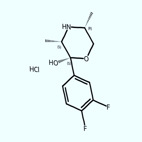 C[C@@H]1CO[C@@](O)(c2ccc(F)c(F)c2)[C@H](C)N1.Cl